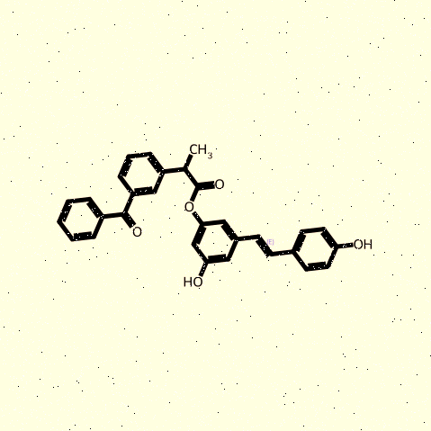 CC(C(=O)Oc1cc(O)cc(/C=C/c2ccc(O)cc2)c1)c1cccc(C(=O)c2ccccc2)c1